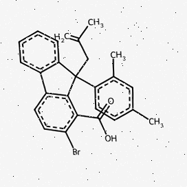 C=C(C)CC1(c2ccc(C)cc2C)c2ccccc2-c2ccc(Br)c(C(=O)O)c21